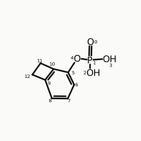 O=P(O)(O)Oc1cccc2c1CC2